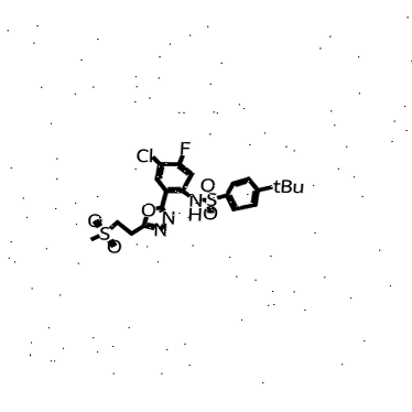 CC(C)(C)c1ccc(S(=O)(=O)Nc2cc(F)c(Cl)cc2-c2nnc(CCS(C)(=O)=O)o2)cc1